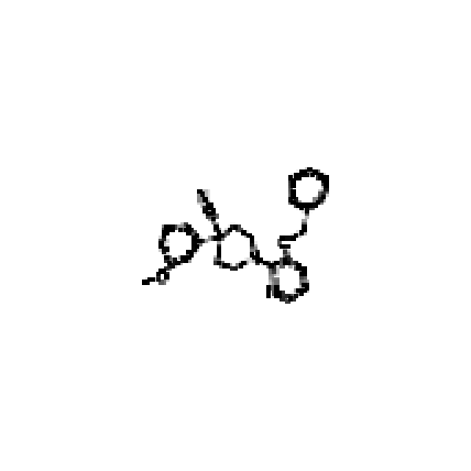 COc1cccc(C2(C#N)CCN(c3ncccc3OCc3ccccc3)CC2)c1